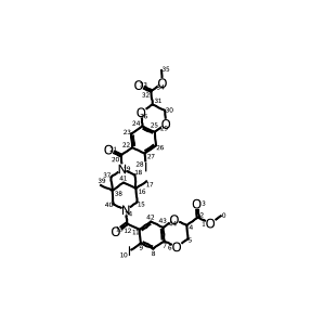 COC(=O)C1COc2cc(I)c(C(=O)N3CC4(C)CN(C(=O)c5cc6c(cc5I)OCC(C(=O)OC)O6)CC(C)(C3)C4)cc2O1